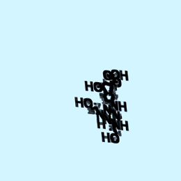 O=S(=O)(O)c1cc(O)c2ccc(Nc3nc(NCCO)nc(NCCO)n3)cc2c1